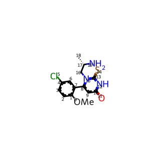 COc1ccc(Cl)cc1-c1cc(=O)[nH]c(=S)n1C[C@H](C)N